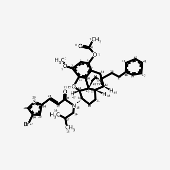 COc1cc(OC(C)=O)c2c3c1O[C@H]1[C@@H](N(CC(C)C)C(=O)/C=C/c4cc(Br)cs4)CC[C@H]4[C@@H](C2)N(CCc2ccccc2)CC[C@@]341